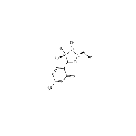 C[C@]1(O)C(n2ccc(N)nc2=O)O[C@H](CO)[C@H]1O